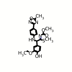 CCOc1cc(C(Nc2ccc(-c3noc(C)n3)cc2)/C(=N/C(=O)OC)SC)ccc1O